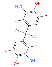 CCC(CC)(c1cc(C)c(O)c(N)c1C)c1cc(C)c(O)c(N)c1C